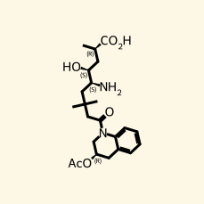 CC(=O)O[C@@H]1Cc2ccccc2N(C(=O)CC(C)(C)C[C@H](N)[C@@H](O)C[C@@H](C)C(=O)O)C1